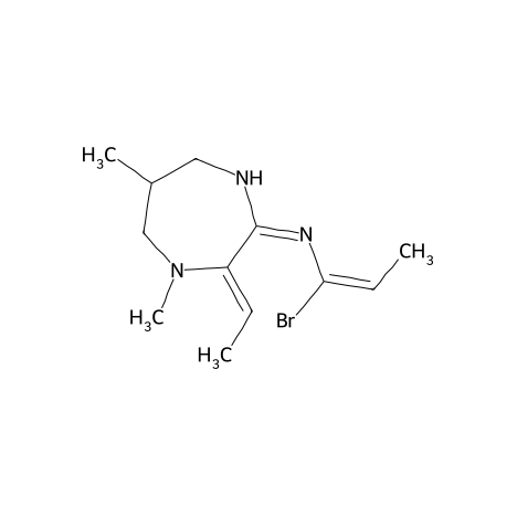 CC=C1/C(=N\C(Br)=C/C)NCC(C)CN1C